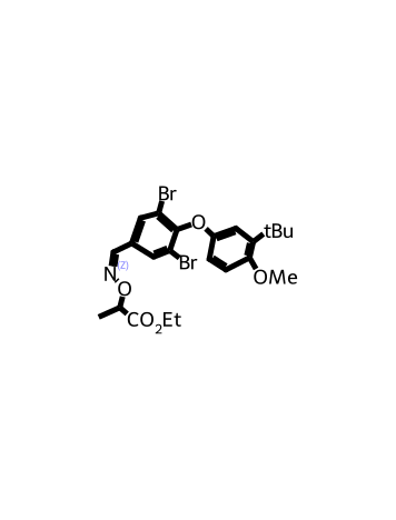 CCOC(=O)C(C)O/N=C\c1cc(Br)c(Oc2ccc(OC)c(C(C)(C)C)c2)c(Br)c1